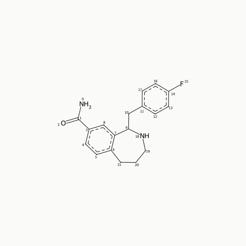 NC(=O)c1ccc2c(c1)C(Cc1ccc(F)cc1)NCCC2